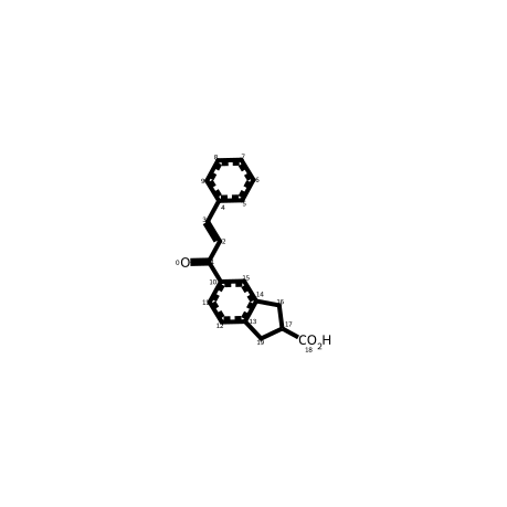 O=C(C=Cc1ccccc1)c1ccc2c(c1)CC(C(=O)O)C2